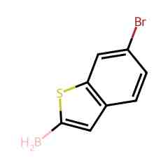 Bc1cc2ccc(Br)cc2s1